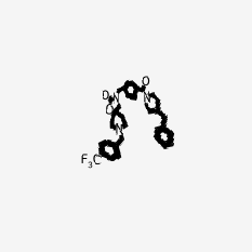 O=C1OC2(CCN(Cc3ccc(C(F)(F)F)cc3)CC2)CN1Cc1ccc(C(=O)N2CCC(Cc3ccccc3)CC2)cc1